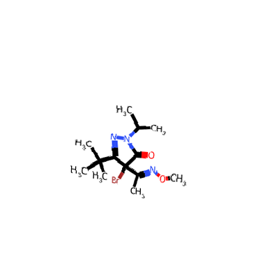 CON=C(C)C1(Br)C(=O)N(C(C)C)N=C1C(C)(C)C